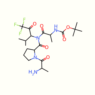 CC(N)C(=O)N1CCCC1C(=O)N(C(=O)C(C)NC(=O)OC(C)(C)C)C(C(=O)C(F)(F)F)C(C)C